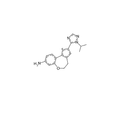 CC(C)n1ncnc1-c1cc2c(s1)-c1ccc(N)cc1OCC2